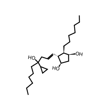 CCCCCCC[C@@H]1[C@@H](C=CCC(O)(CCCCCC)C2CC2)[C@H](O)C[C@@H]1O